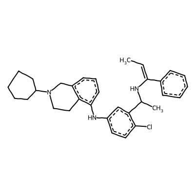 C/C=C(\NC(C)c1cc(Nc2cccc3c2CCN(C2CCCCC2)C3)ccc1Cl)c1ccccc1